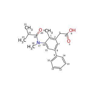 Cc1c(CC(=O)O)cc(-c2ccccc2)cc1N(C)C(=O)C(C)C